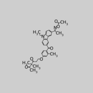 CCn1c2ccc(C(=O)c3ccc(OCCC(=O)C(C)(C)C(C)=O)cc3C)cc2c2cc(C(C)=NOC(C)=O)ccc21